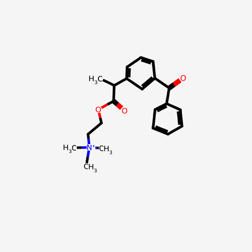 CC(C(=O)OCC[N+](C)(C)C)c1cccc(C(=O)c2ccccc2)c1